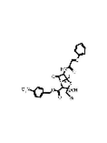 C[C@@]1(CBr)S[C@H]2C(NC(=O)COc3ccccc3)C(=O)N2C1C(=O)OCc1ccc([N+](=O)[O-])cc1